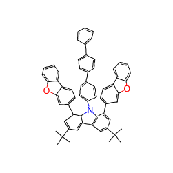 CC(C)(C)C1=CC(c2ccc3c(c2)oc2ccccc23)C2C(=C1)c1cc(C(C)(C)C)cc(-c3ccc4c(c3)oc3ccccc34)c1N2c1ccc(-c2ccc(-c3ccccc3)cc2)cc1